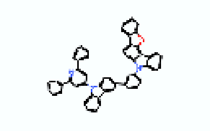 c1ccc(-c2cc(-n3c4ccccc4c4cc(-c5cccc(-n6c7ccccc7c7c8oc9ccccc9c8ccc76)c5)ccc43)cc(-c3ccccc3)n2)cc1